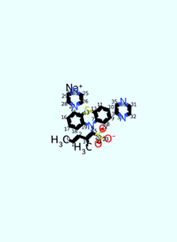 CC=CC(C)=C(N1c2ccccc2Sc2ccccc21)S(=O)(=O)[O-].[Na+].c1cnccn1.c1cnccn1